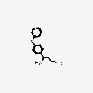 CCCC(C)c1ccc(Oc2ccccc2)cc1